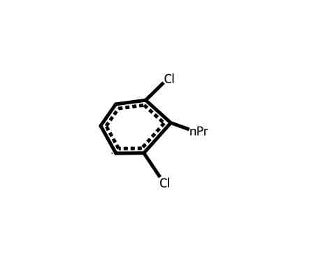 CCCc1c(Cl)[c]ccc1Cl